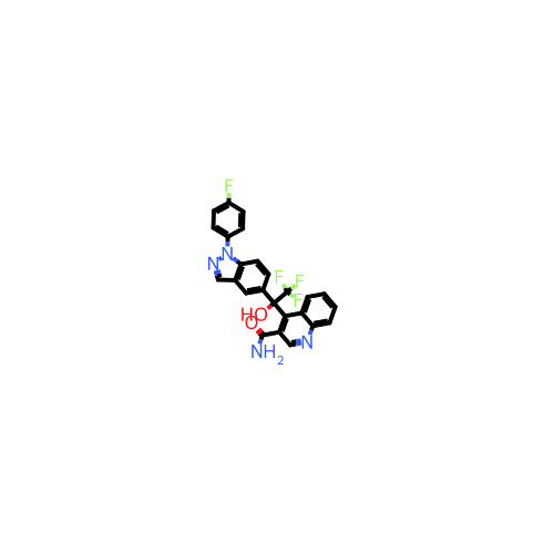 NC(=O)c1cnc2ccccc2c1C(O)(c1ccc2c(cnn2-c2ccc(F)cc2)c1)C(F)(F)F